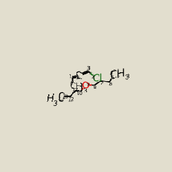 CC=C=CCl.CCCCOCCCC